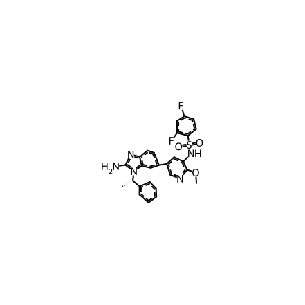 COc1ncc(-c2ccc3nc(N)n([C@@H](C)c4ccccc4)c3c2)cc1NS(=O)(=O)c1ccc(F)cc1F